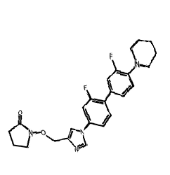 O=C1CCCN1OCc1cn(-c2ccc(-c3ccc(N4CCCCC4)c(F)c3)c(F)c2)cn1